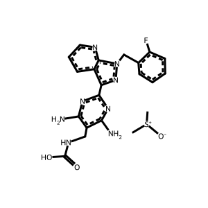 C[S+](C)[O-].Nc1nc(-c2nn(Cc3ccccc3F)c3ncccc23)nc(N)c1CNC(=O)O